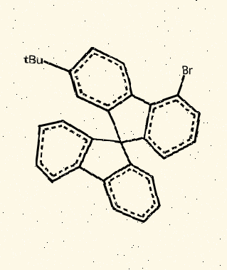 CC(C)(C)c1ccc2c(c1)C1(c3ccccc3-c3ccccc31)c1cccc(Br)c1-2